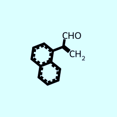 C=C(C=O)c1cccc2ccccc12